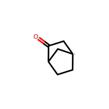 O=C1C[C]2CCC1C2